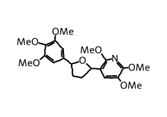 COc1cc(C2CCC(c3cc(OC)c(OC)c(OC)c3)O2)c(OC)nc1OC